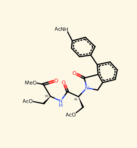 COC(=O)[C@H](COC(C)=O)NC(=O)[C@H](COC(C)=O)N1Cc2cccc(-c3ccc(NC(C)=O)cc3)c2C1=O